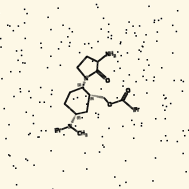 CC(C)C(=O)OC[C@@H]1C[C@H](N(C)C(C)C)CC[C@@H]1N1CCC(N)C1=O